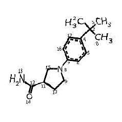 CC(C)(C)c1ccc(N2CC[C@@H](C(N)=O)C2)cc1